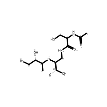 CC(=O)NC(CO)C(=O)NCC(OC(C)[C@@H](O)CO)[C@@H](C)O